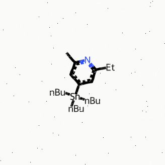 CCC[CH2][Sn]([CH2]CCC)([CH2]CCC)[c]1cc(C)nc(CC)c1